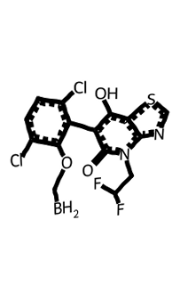 BCOc1c(Cl)ccc(Cl)c1-c1c(O)c2scnc2n(CC(F)F)c1=O